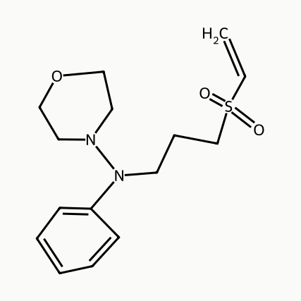 C=CS(=O)(=O)CCCN(c1ccccc1)N1CCOCC1